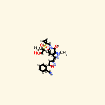 Cn1nc(C2=NO[C@@H](c3ccccc3C#N)C2)c2c1C(=O)N(CC1(S(=O)(=O)C(C)(C)CO)CC1)CC2